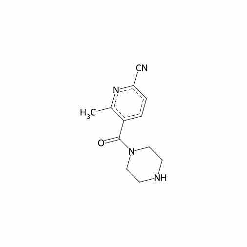 Cc1nc(C#N)ccc1C(=O)N1CCNCC1